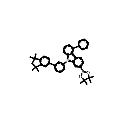 CC1(C)CC(C)(C)c2cc(-c3cccc(-n4c5cc(B6OC(C)(C)C(C)(C)O6)ccc5c5c(-c6ccccc6)cccc54)c3)ccc21